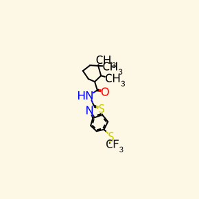 CC1C(C(=O)Nc2nc3ccc(SC(F)(F)F)cc3s2)CCCC1(C)C